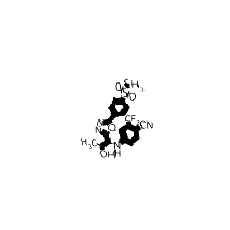 C[C@@H](O)[C@@H](Nc1ccc(C#N)c(C(F)(F)F)c1)c1nnc(-c2ccc(S(C)(=O)=O)cc2)o1